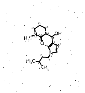 CC(C)CCn1cnc(C(O)C2CCCN(C)C2=O)c1